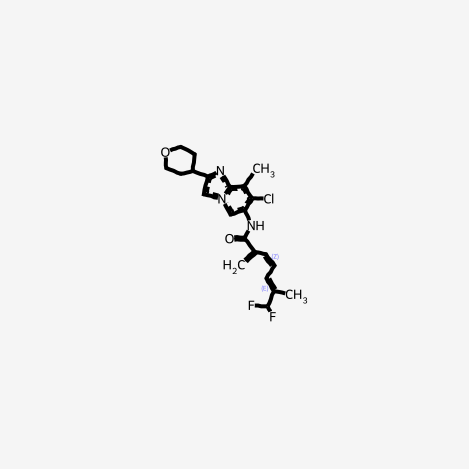 C=C(/C=C\C=C(/C)C(F)F)C(=O)Nc1cn2cc(C3CCOCC3)nc2c(C)c1Cl